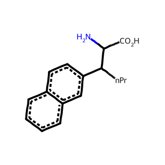 CCCC(c1ccc2ccccc2c1)C(N)C(=O)O